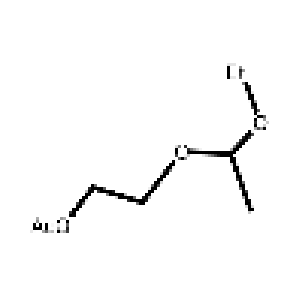 CCOC(C)OCCOC(C)=O